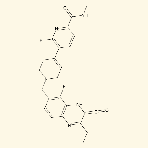 CCC1=Nc2ccc(CN3CC=C(c4ccc(C(=O)NC)nc4F)CC3)c(F)c2NC1=C=O